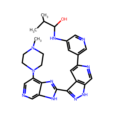 CC(C)C(O)Nc1cncc(-c2cc3c(-c4nc5c(N6CCN(C)CC6)cncc5[nH]4)n[nH]c3cn2)c1